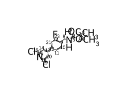 CC(C)(C)OC(=O)NCc1ccc(-c2cc(Cl)nc(Cl)c2)cc1F